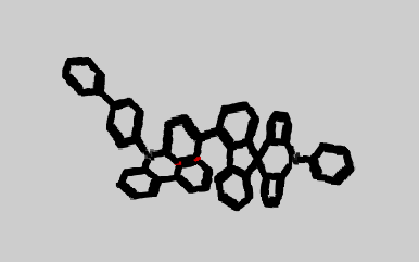 c1ccc(-c2ccc(N(c3ccc(-c4cccc5c4-c4ccccc4C54c5ccccc5N(c5ccccc5)c5ccccc54)cc3)c3ccccc3-c3ccccc3)cc2)cc1